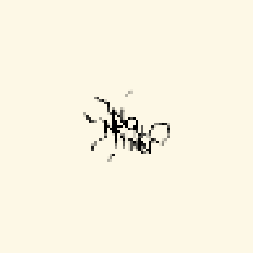 C=CCN(CC=C)[PH](On1nnc2ccccc21)(N(CC=C)CC=C)N(CC=C)CC=C